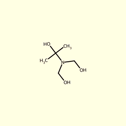 CC(C)(O)N(CO)CO